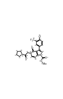 CC(C)(C)OC(=O)n1nc(-c2ccc(Cl)c(C(F)(F)F)c2)c2c(=O)n(CC(=O)N3CCCC3)cnc21